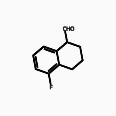 O=CC1CCCc2c(F)cccc21